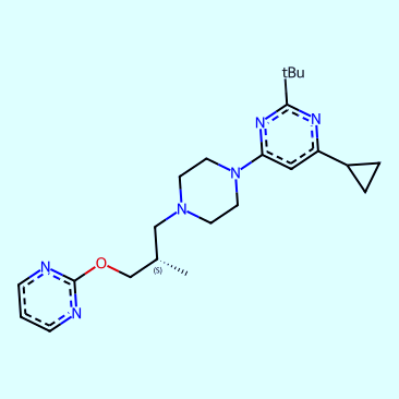 C[C@H](COc1ncccn1)CN1CCN(c2cc(C3CC3)nc(C(C)(C)C)n2)CC1